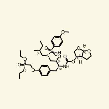 CCOP(=O)(COc1ccc(C[C@H](NC(=O)O[C@H]2CO[C@H]3OCC[C@H]32)[C@H](O)CN(C[C@@H](C)CC)S(=O)(=O)c2ccc(OC)cc2)cc1)OCC